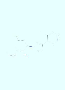 OC[C@H]1O[C@@H](S)[C@H](O)[C@@H](n2cc(-c3ccccc3F)nn2)[C@H]1O